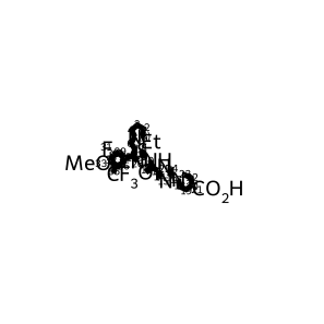 CC[C@@H]1CCCN1Cc1sc(NC(=O)c2cnc(N3CCC(C(=O)O)CC3)cn2)nc1-c1cc(F)c(OC)c(C(F)(F)F)c1